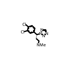 CNCC[C@H](c1ccc(Cl)c(Cl)c1)n1ncnn1